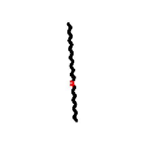 CCCCCCCCCCCCC=COCCCCCCCCC